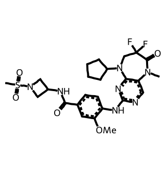 COc1cc(C(=O)NC2CN(S(C)(=O)=O)C2)ccc1Nc1ncc2c(n1)N(C1CCCC1)CC(F)(F)C(=O)N2C